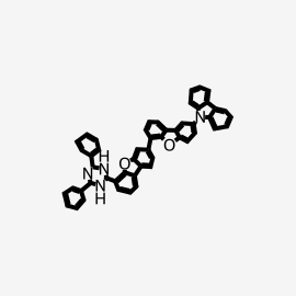 c1ccc(C2=NC(c3ccccc3)NC(c3cccc4c3oc3cc(-c5cccc6c5oc5ccc(-n7c8ccccc8c8ccccc87)cc56)ccc34)N2)cc1